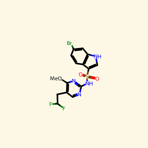 COc1nc(NS(=O)(=O)c2c[nH]c3cc(Br)ccc23)ncc1CC(F)F